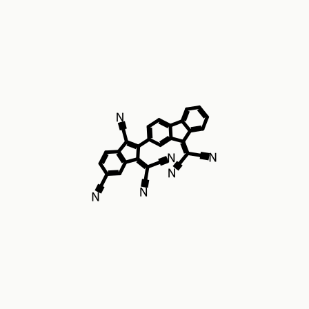 N#CC(C#N)=C1C(c2ccc3c(c2)C(=C(C#N)C#N)c2ccccc2-3)=C(C#N)c2ccc(C#N)cc21